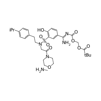 CC(C)c1ccc(CCN(CC(=O)N2CCOCC2)S(=O)(=O)c2cc(C(N)=NC(=O)OCOC(=O)C(C)(C)C)ccc2O)cc1.CN